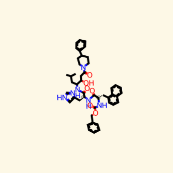 CC(C)CC(NC(=O)[C@H](Cc1c[nH]cn1)NC(=O)[C@H](Cc1cccc2ccccc12)NC(=O)OCc1ccccc1)C(O)CC(=O)N1CCC(c2ccccc2)CC1